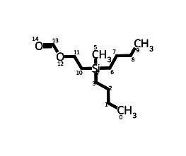 CCCC[Si](C)(CCCC)CCOC=O